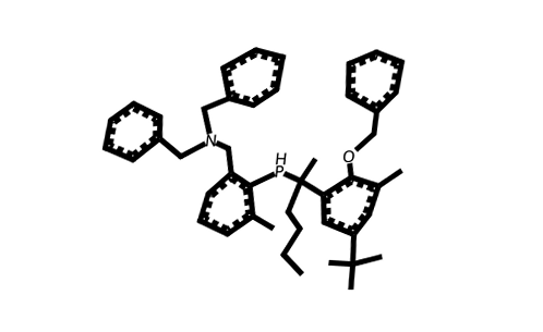 CCCCC(C)(Pc1c(C)cccc1CN(Cc1ccccc1)Cc1ccccc1)c1cc(C(C)(C)C)cc(C)c1OCc1ccccc1